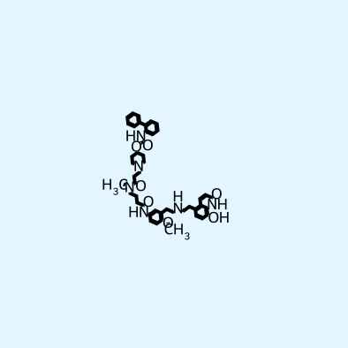 COc1ccc(NC(=O)CCCN(C)C(=O)CCN2CCC(OC(=O)Nc3ccccc3-c3ccccc3)CC2)cc1CCNCCc1ccc(O)c2[nH]c(=O)ccc12